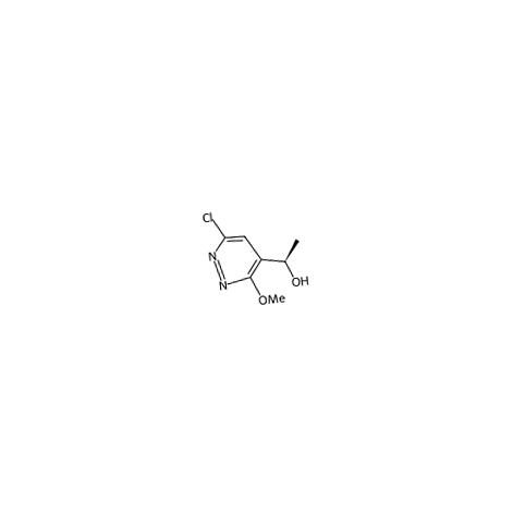 COc1nnc(Cl)cc1[C@@H](C)O